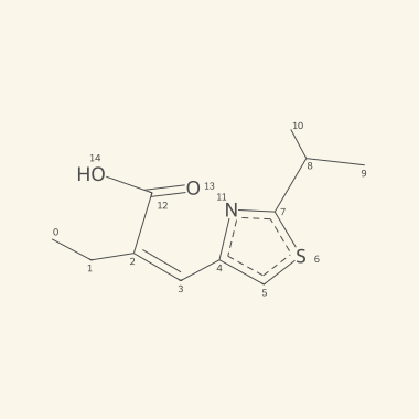 CCC(=Cc1csc(C(C)C)n1)C(=O)O